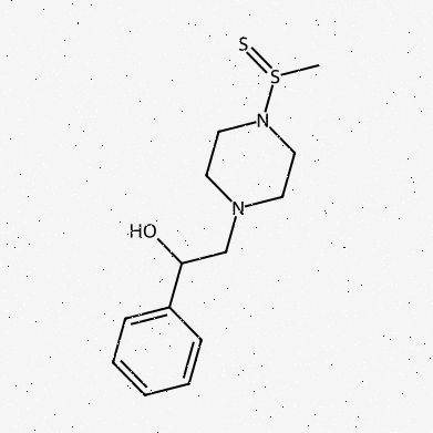 CS(=S)N1CCN(CC(O)c2ccccc2)CC1